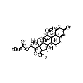 CC1C[C@H]2[C@@H]3CCC4=CC(=O)C=C[C@]4(C)[C@@]3(Br)C(O)C[C@]2(C)[C@@]1(O)C(=O)COC(=O)C(C)(C)C